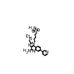 CCOCc1nc2c(N)nc3cc(-c4cccnc4)ccc3c2n1CCCCCS(N)(=O)=O